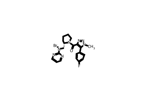 Cn1nnc(C(=O)N2CCCC[C@H]2CN(Br)c2ncccn2)c1-c1ccc(F)cc1